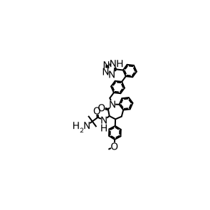 COc1ccc(C2Cc3ccccc3N(Cc3ccc(-c4ccccc4-c4nnn[nH]4)cc3)C(=O)C2NC(=O)C(C)(C)N)cc1